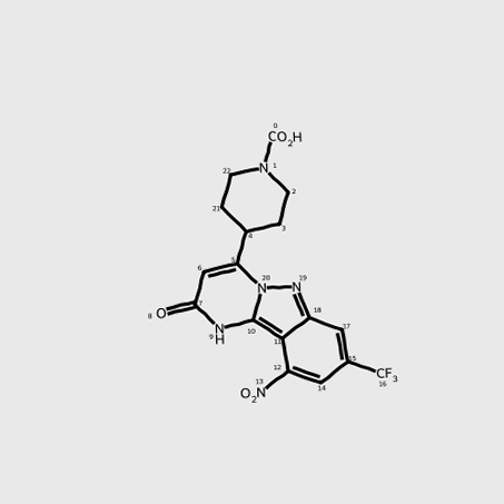 O=C(O)N1CCC(c2cc(=O)[nH]c3c4c([N+](=O)[O-])cc(C(F)(F)F)cc4nn23)CC1